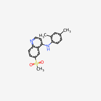 Cc1ccc(Nc2ccnc3ccc(S(C)(=O)=O)cc23)c(C)c1